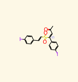 CC(=O)/C=C(/c1ccc(I)cc1)S(=O)(=O)C=Cc1ccc(I)cc1